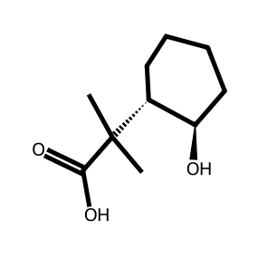 CC(C)(C(=O)O)[C@@H]1CCCC[C@H]1O